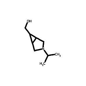 CC(C)N1CC2C(CO)C2C1